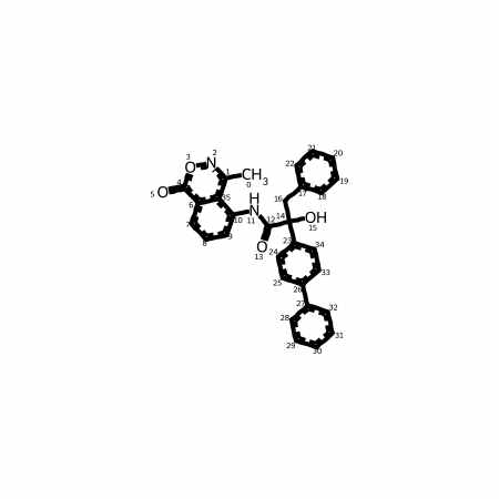 Cc1noc(=O)c2cccc(NC(=O)C(O)(Cc3ccccc3)c3ccc(-c4ccccc4)cc3)c12